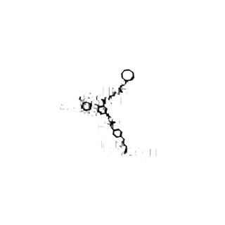 CC(=O)OC[C@H]1O[C@@H](Oc2ccc(COC(=O)Nc3ccc(CC(N)CC(C)(C)C(=O)O)cc3)cc2C(=O)NCCNC(=O)COC2C#CCCCCC2)[C@H](OC(C)=O)[C@@H](OC(C)=O)[C@@H]1OC(C)=O